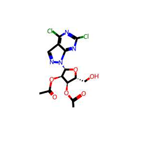 CC(=O)O[C@@H]1[C@H](OC(C)=O)[C@@H](CO)O[C@H]1n1ncc2c(Cl)nc(Cl)nc21